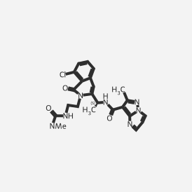 CNC(=O)NCCn1c([C@H](C)NC(=O)c2c(C)nn3cccnc23)cc2cccc(Cl)c2c1=O